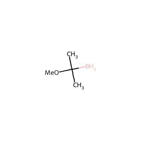 BC(C)(C)OC